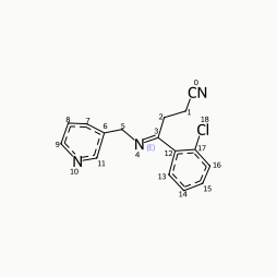 N#CCC/C(=N\Cc1cccnc1)c1ccccc1Cl